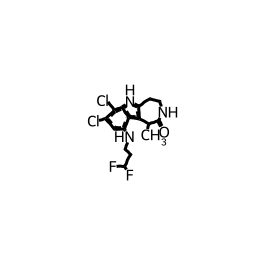 CC1C(=O)NCCc2[nH]c3c(Cl)c(Cl)cc(NCCC(F)F)c3c21